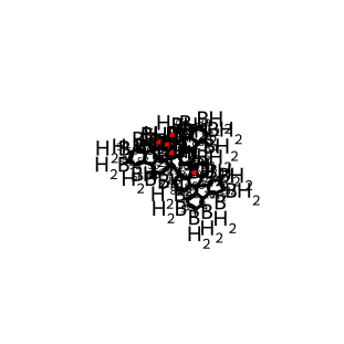 Bc1c(B)c(B)c2c(c1B)-c1c(B)c(B)c(B)c(B)c1C21c2ccccc2-c2c(N(c3c(B)c(B)c4c(c3B)C(C(B)(B)B)(C(B)(B)B)c3c(B)c(B)c(B)c(B)c3-4)c3c(B)c(B)c4c(c3B)C(C(B)(B)B)(C(B)(B)B)c3c(B)c(B)c(B)c(B)c3-4)cccc21